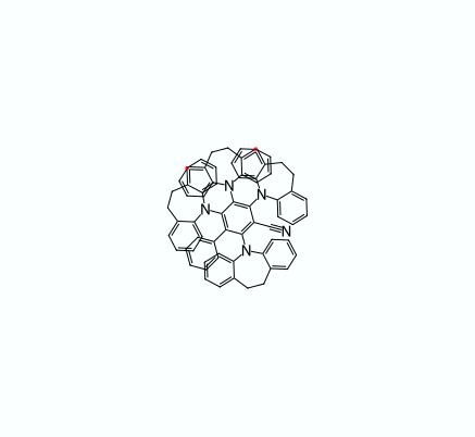 N#Cc1c(N2c3ccccc3CCc3ccccc32)c(-c2ccccc2)c(N2c3ccccc3CCc3ccccc32)c(N2c3ccccc3CCc3ccccc32)c1N1c2ccccc2CCc2ccccc21